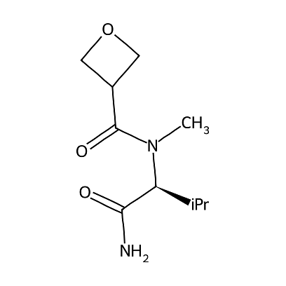 CC(C)[C@@H](C(N)=O)N(C)C(=O)C1COC1